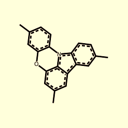 Cc1ccc2c(c1)Oc1cc(C)cc3c4cc(C)ccc4n-2c13